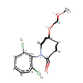 COCOC1CCC(=O)N(c2c(Cl)cccc2Cl)C1